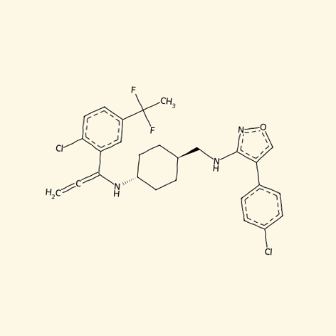 C=C=C(N[C@H]1CC[C@H](CNc2nocc2-c2ccc(Cl)cc2)CC1)c1cc(C(C)(F)F)ccc1Cl